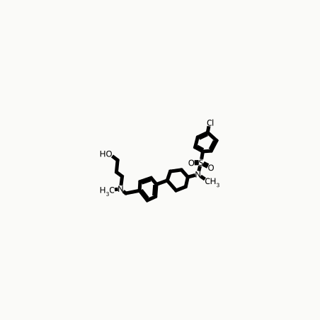 CN(CCCO)Cc1ccc(C2CCC(N(C)S(=O)(=O)c3ccc(Cl)cc3)CC2)cc1